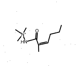 CCCC=C(C)C(=O)N[N+](C)(C)C